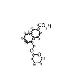 O=C(O)c1ccc2c(COC3CCCCO3)nccc2c1